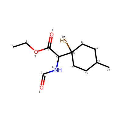 CCOC(=O)C(NC=O)C1(S)CCC(C)CC1